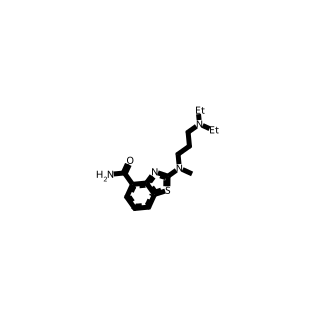 CCN(CC)CCCN(C)c1nc2c(C(N)=O)c[c]cc2s1